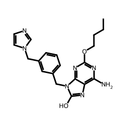 CCCCOc1nc(N)c2nc(O)n(Cc3cccc(Cn4ccnc4)c3)c2n1